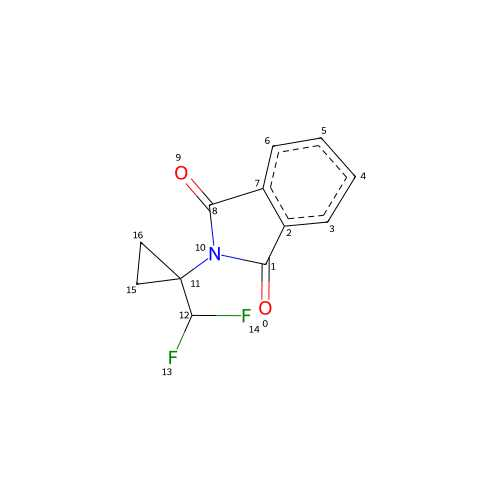 O=C1c2ccccc2C(=O)N1C1(C(F)F)CC1